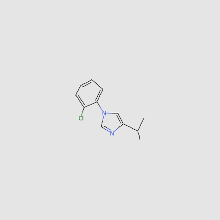 CC(C)c1cn(-c2ccccc2Cl)cn1